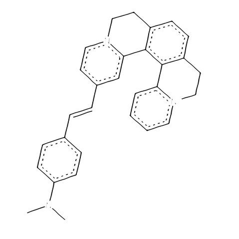 CN(C)c1ccc(/C=C/c2cc[n+]3c(c2)-c2c(ccc4c2-c2cccc[n+]2CC4)CC3)cc1